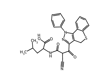 CC(C)CC(NC(=O)C(C#N)C(=O)c1nn(-c2ccccc2)c2c1CSc1ccccc1-2)C(=O)O